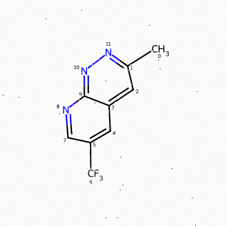 Cc1cc2cc(C(F)(F)F)cnc2nn1